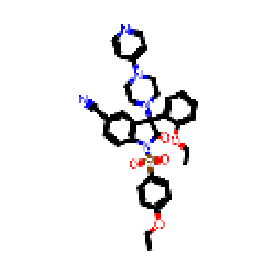 CCOc1ccc(S(=O)(=O)N2C(=O)C(c3ccccc3OCC)(N3CCN(c4ccncc4)CC3)c3cc(C#N)ccc32)cc1